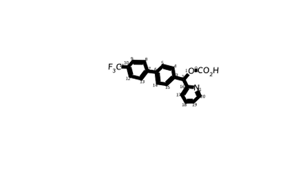 O=C(O)OC(c1ccc(-c2ccc(C(F)(F)F)cc2)cc1)c1ccccn1